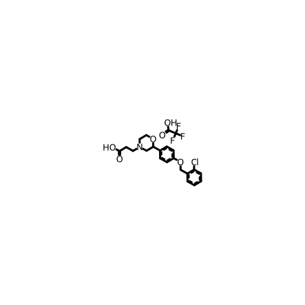 O=C(O)C(F)(F)F.O=C(O)CCN1CCOC(c2ccc(OCc3ccccc3Cl)cc2)C1